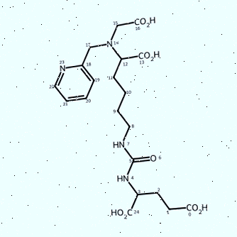 O=C(O)CCC(NC(=O)NCCCCC(C(=O)O)N(CC(=O)O)Cc1ccccn1)C(=O)O